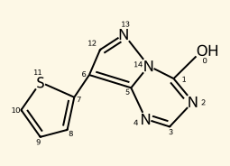 Oc1ncnc2c(-c3cccs3)cnn12